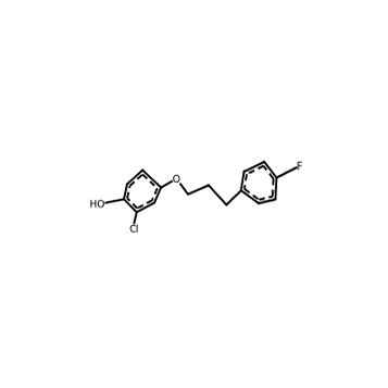 Oc1ccc(OCCCc2ccc(F)cc2)cc1Cl